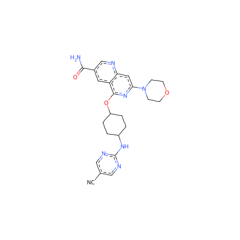 N#Cc1cnc(NC2CCC(Oc3nc(N4CCOCC4)cc4ncc(C(N)=O)cc34)CC2)nc1